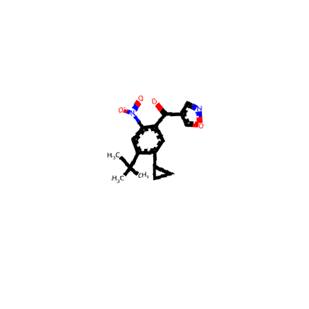 CC(C)(C)c1cc([N+](=O)[O-])c(C(=O)c2cnoc2)cc1C1CC1